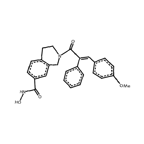 COc1ccc(C=C(C(=O)N2CCc3ccc(C(=O)NO)cc3C2)c2ccccc2)cc1